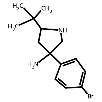 CC(C)(C)C1CC(N)(c2ccc(Br)cc2)CN1